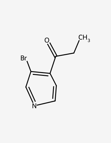 CCC(=O)c1ccncc1Br